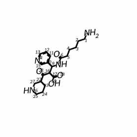 NCCCCCC(=O)NC(c1cccnc1)C(C(=O)O)C(=O)C1CCCNC1